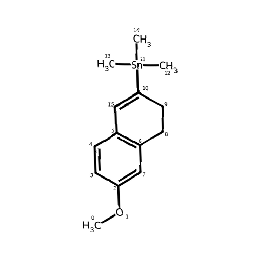 COc1ccc2c(c1)CC[C]([Sn]([CH3])([CH3])[CH3])=C2